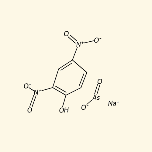 O=[As][O-].O=[N+]([O-])c1ccc(O)c([N+](=O)[O-])c1.[Na+]